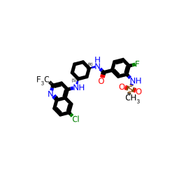 CS(=O)(=O)Nc1cc(C(=O)N[C@@H]2CCC[C@H](Nc3cc(C(F)(F)F)nc4ccc(Cl)cc34)C2)ccc1F